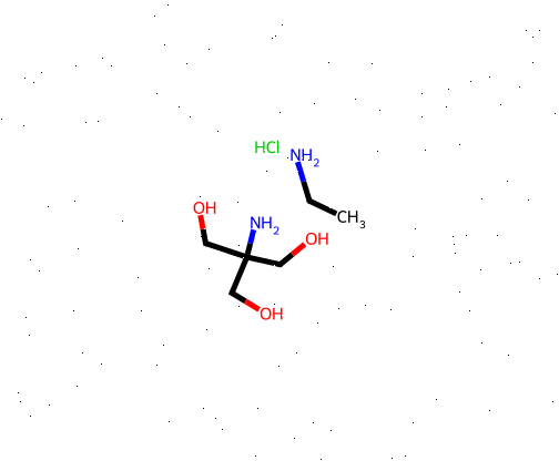 CCN.Cl.NC(CO)(CO)CO